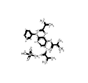 CC(C)C(=O)O[C@@H]1[C@@H](OC(=O)C(C)C)[C@H](OC(=O)C(C)C)CS[C@H]1Oc1cccnc1.CS(=O)(=O)O